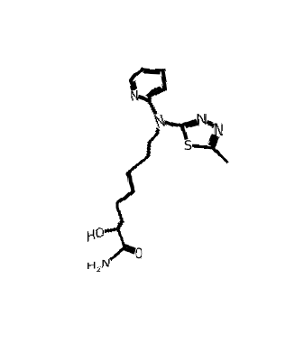 Cc1nnc(N(CCCCCCC(O)C(N)=O)c2ccccn2)s1